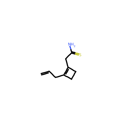 C=CCC1=C(CC(N)=S)CC1